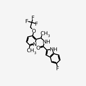 Cc1ccc(OCC(F)(F)F)c(C(C)NC(=O)c2cc3cc(F)ccc3[nH]2)n1